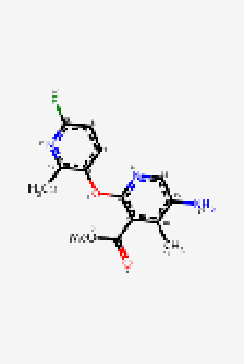 COC(=O)c1c(Oc2ccc(F)nc2C)ncc(N)c1C